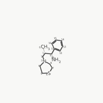 C[C@@H](CN1CCSCC1)[C@@H](N)c1ccccc1